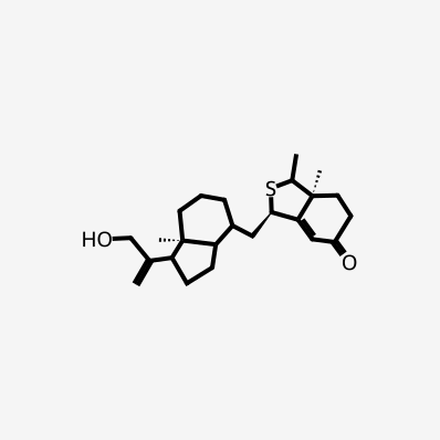 C=C(CO)C1CCC2C(C[C@H]3SC(C)[C@@]4(C)CCC(=O)C=C34)CCC[C@]12C